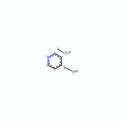 CC(=O)O.O=[CH][Zn].c1ccncc1